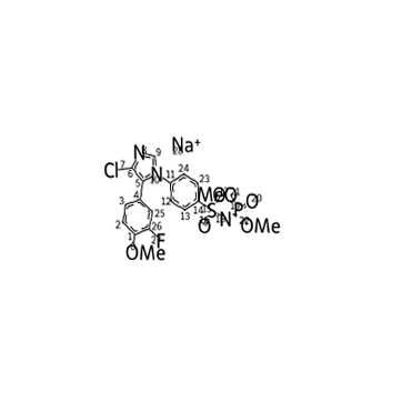 COc1ccc(-c2c(Cl)ncn2-c2ccc(S(=O)(=O)[N-]P(=O)(OC)OC)cc2)cc1F.[Na+]